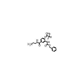 NCCNC(=O)c1cccc(NC(=O)OCc2ccccc2)c1.O=C(O)C(F)(F)F